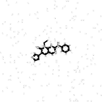 CCn1c(=O)c(-c2ccsc2)cc2cnc(Nc3ccccc3)nc21